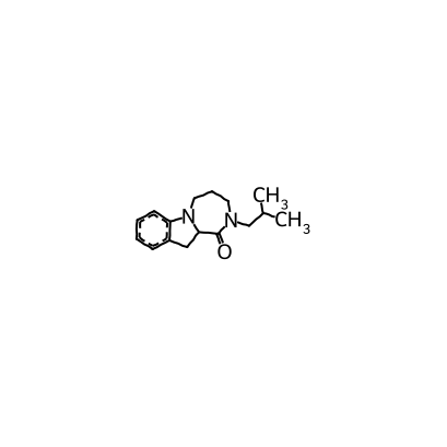 CC(C)CN1CCCN2c3ccccc3CC2C1=O